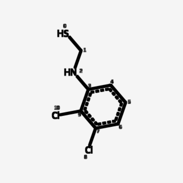 SCNc1cccc(Cl)c1Cl